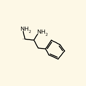 N[CH]C(N)Cc1ccccc1